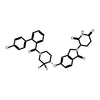 O=C1CCC(N2Cc3cc(O[C@H]4CCN(C(=O)c5ccccc5-c5ccc(Cl)cc5)CC4(F)F)ccc3C2=O)C(=O)N1